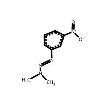 CN(C)N=Nc1cccc([N+](=O)[O-])c1